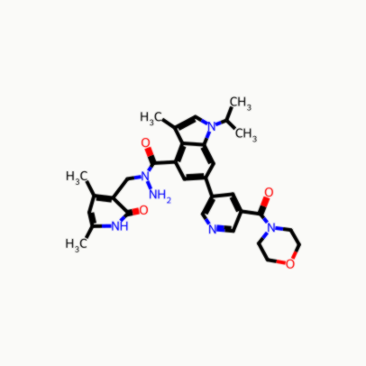 Cc1cc(C)c(CN(N)C(=O)c2cc(-c3cncc(C(=O)N4CCOCC4)c3)cc3c2c(C)cn3C(C)C)c(=O)[nH]1